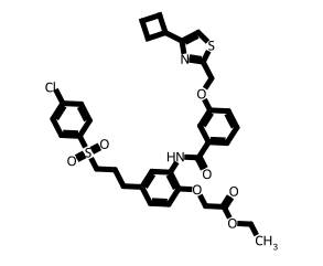 CCOC(=O)COc1ccc(CCCS(=O)(=O)c2ccc(Cl)cc2)cc1NC(=O)c1cccc(OCc2nc(C3CCC3)cs2)c1